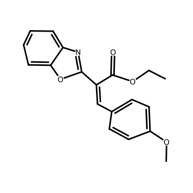 CCOC(=O)C(=Cc1ccc(OC)cc1)c1nc2ccccc2o1